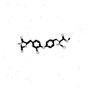 COC(=O)[C@H](Cc1ccc(Oc2ccc(/C=C3\SC(=O)NC3=O)cc2Cl)cc1)NCl